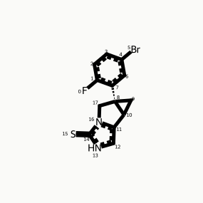 Fc1ccc(Br)cc1[C@]12CC1c1c[nH]c(=S)n1C2